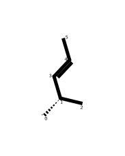 [CH2][C@@H](C)C=CC